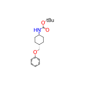 CC(C)(C)OC(=O)N[C@H]1CC[C@H](COc2ccccc2)CC1